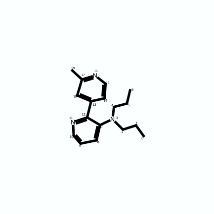 CCCN(CCC)c1cccnc1-c1ccnc(C)c1